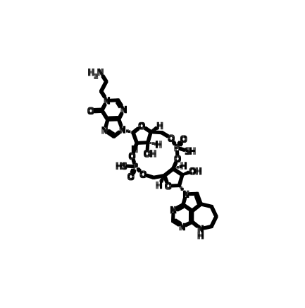 NCCn1cnc2c(ncn2[C@@H]2O[C@@H]3COP(=O)(S)O[C@H]4[C@@H](O)[C@H](n5cc6c7c(ncnc75)NCCC6)O[C@@H]4COP(=O)(S)O[C@@H]2[C@@H]3O)c1=O